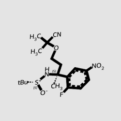 CC(C)(C#N)OCC[C@](C)(N[S@+]([O-])C(C)(C)C)c1cc([N+](=O)[O-])ccc1F